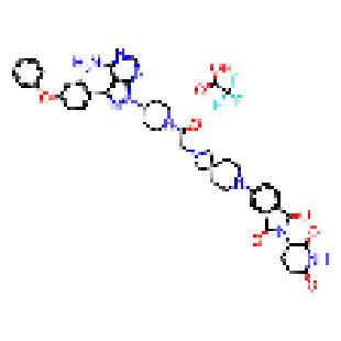 Nc1ncnc2c1c(-c1ccc(Oc3ccccc3)cc1)nn2C1CCN(C(=O)CN2CC3(CCN(c4ccc5c(c4)C(=O)N(C4CCC(=O)NC4=O)C5=O)CC3)C2)CC1.O=C(O)C(F)(F)F